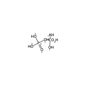 O=C(O)O.O=P(O)(O)O.[KH]